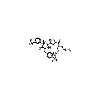 NCCN(CCN)C(=O)[C@@H]1CN[C@H](C(=O)N[C@@H](Cc2ccc(C(F)(F)F)cc2)C(=O)Nc2cccc(C(F)(F)F)c2)C1